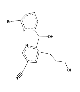 N#Cc1cnc(C(O)c2cccc(Br)n2)c(CCCO)c1